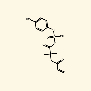 C=CC(=O)CC(C)(C)C(=O)OP(=O)(O)Oc1ccc(O)cc1